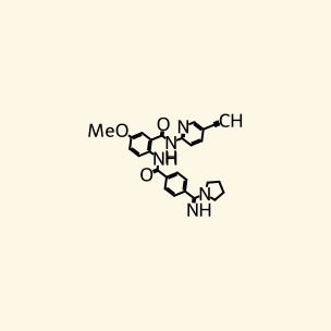 C#Cc1ccc(NC(=O)c2cc(OC)ccc2NC(=O)c2ccc(C(=N)N3CCCC3)cc2)nc1